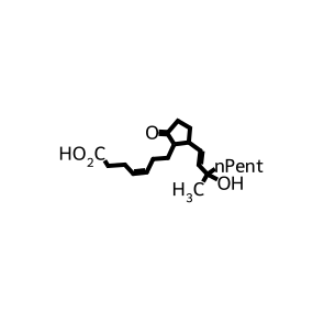 CCCCCC(C)(O)/C=C/C1CCC(=O)C1CC/C=C\CCC(=O)O